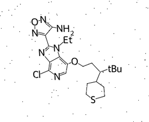 CCn1c(-c2nonc2N)nc2c(Cl)ncc(OCC[C](C3CCSCC3)C(C)(C)C)c21